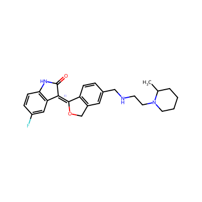 CC1CCCCN1CCNCc1ccc2c(c1)CO/C2=C1/C(=O)Nc2ccc(F)cc21